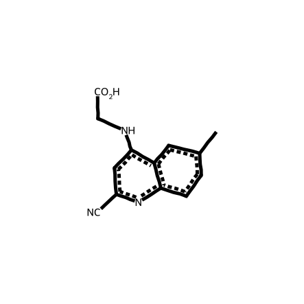 Cc1ccc2nc(C#N)cc(NCC(=O)O)c2c1